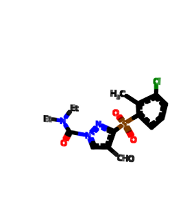 CCN(CC)C(=O)n1cc(C=O)c(S(=O)(=O)c2cccc(Cl)c2C)n1